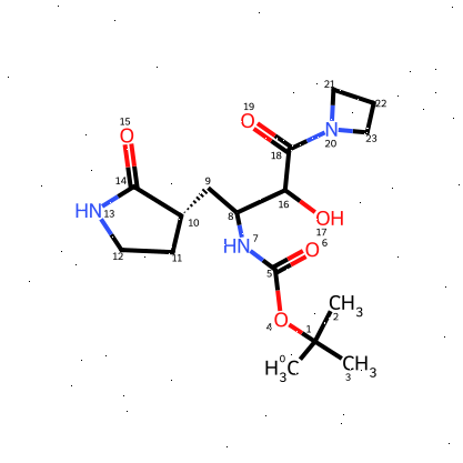 CC(C)(C)OC(=O)NC(C[C@@H]1CCNC1=O)C(O)C(=O)N1CCC1